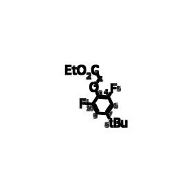 CCOC(=O)COc1c(F)cc(C(C)(C)C)cc1F